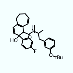 CC(Cc1cccc(OC(C)(C)C)c1)NC(=O)C1C2=C(C=CC1(O)c1ccc(F)cc1)CCCC=C2